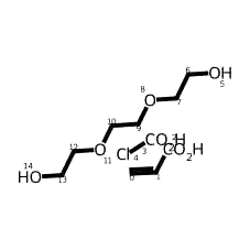 C=CC(=O)O.O=C(O)Cl.OCCOCCOCCO